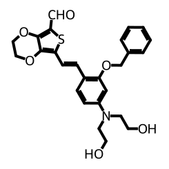 O=Cc1sc(C=Cc2ccc(N(CCO)CCO)cc2OCc2ccccc2)c2c1OCCO2